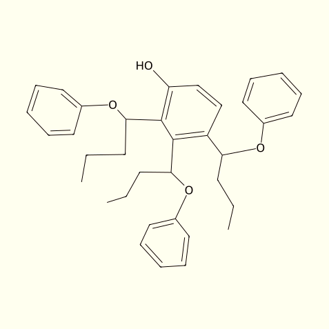 CCCC(Oc1ccccc1)c1ccc(O)c(C(CCC)Oc2ccccc2)c1C(CCC)Oc1ccccc1